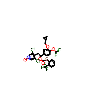 O=C(O[C@@H](Cc1c(Cl)c[n+]([O-])cc1Cl)c1ccc(OC(F)F)c(OCC2CC2)c1)Sc1ccccc1C(F)(F)F